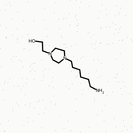 NCCCCCCN1CCN(CCO)CC1